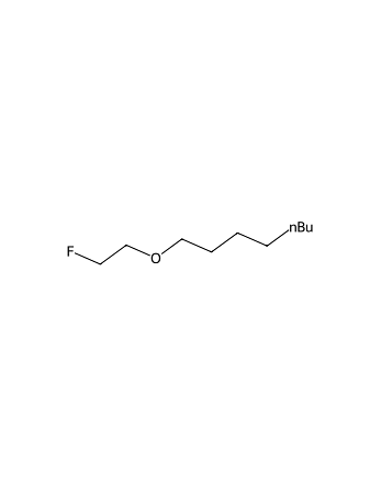 [CH2]CCCCCCCOCCF